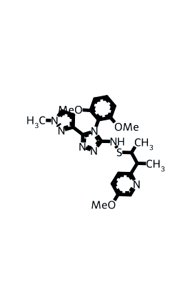 COc1ccc(C(C)C(C)SNc2nnc(-c3ccn(C)n3)n2-c2c(OC)cccc2OC)nc1